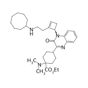 CCOC(=O)C1(N(C)C)CCC(c2nc3ccccc3n([C@@H]3CC=C3CCNC3CCCCCCC3)c2=O)CC1